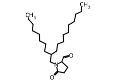 CCCCCCCCCCC(CCCCCCCC)CN1C(=O)CCC1C=O